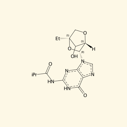 CC[C@]12CO[C@@H](C1O)[C@H](n1cnc3c(=O)[nH]c(NC(=O)C(C)C)nc31)O2